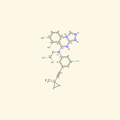 Fc1cc(C#CC2(C(F)(F)F)CC2)cc(N(CC(F)F)c2nc3nncn3c3ccc(F)c(F)c23)c1